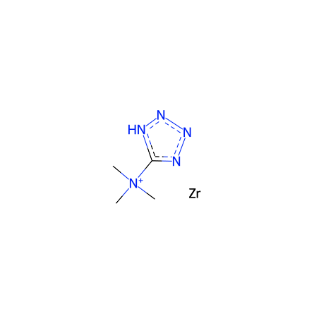 C[N+](C)(C)c1nnn[nH]1.[Zr]